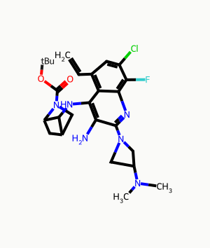 C=Cc1cc(Cl)c(F)c2nc(N3CC(N(C)C)C3)c(N)c(NC3C4CC3N(C(=O)OC(C)(C)C)C4)c12